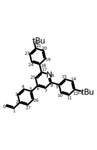 C=Cc1ccc(-c2cc(-c3ccc(C(C)(C)C)cc3)nc(-c3ccc(C(C)(C)C)cc3)c2)cc1